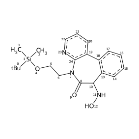 CC(C)(C)[Si](C)(C)OCCN1C(=O)C(NO)c2ccccc2-c2cccnc21